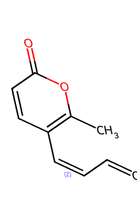 C=C/C=C\c1ccc(=O)oc1C